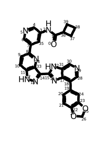 O=C(Nc1cncc(-c2ccc3[nH]nc(-c4nc5c(-c6ccc7c(c6)OCO7)cncc5[nH]4)c3n2)c1)C1CCC1